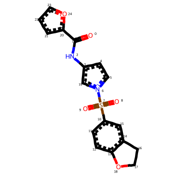 O=C(Nc1ccn(S(=O)(=O)c2ccc3c(c2)CCO3)c1)c1ccco1